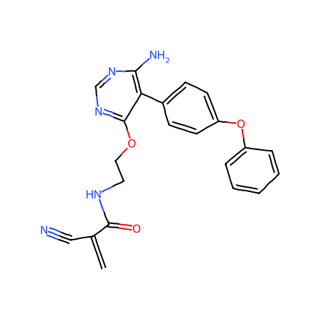 C=C(C#N)C(=O)NCCOc1ncnc(N)c1-c1ccc(Oc2ccccc2)cc1